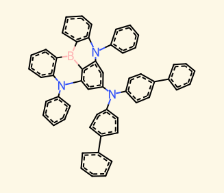 c1ccc(-c2ccc(N(c3ccc(-c4ccccc4)cc3)c3cc4c5c(c3)N(c3ccccc3)c3ccccc3B5c3ccccc3N4c3ccccc3)cc2)cc1